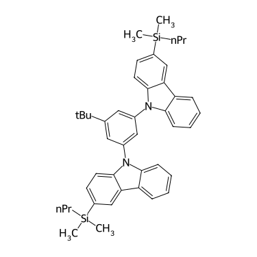 CCC[Si](C)(C)c1ccc2c(c1)c1ccccc1n2-c1cc(-n2c3ccccc3c3cc([Si](C)(C)CCC)ccc32)cc(C(C)(C)C)c1